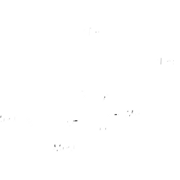 CCCCCCCCCCCCCCO[C@@H]1[C@@H](OCCCCCCCCCCCCCC)[C@@H](OC)O[C@H](COC)[C@H]1OCc1ccc(OC)cc1